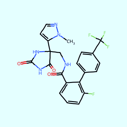 Cn1nccc1C1(CNC(=O)c2cccc(F)c2-c2ccc(C(F)(F)F)cc2)NC(=O)NC1=O